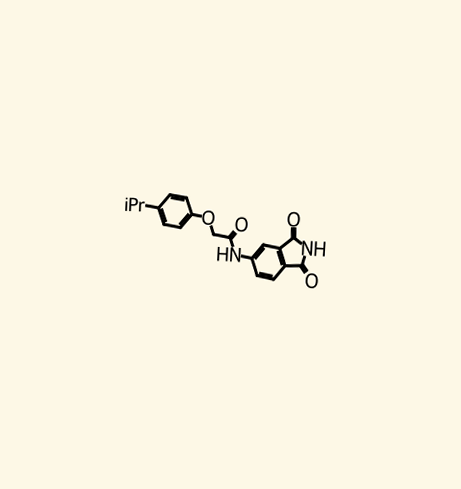 CC(C)c1ccc(OCC(=O)Nc2ccc3c(c2)C(=O)NC3=O)cc1